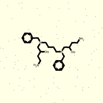 NCCC(O)CN(CCCCN(Cc1ccccc1)CC(O)CCN)Cc1ccccc1